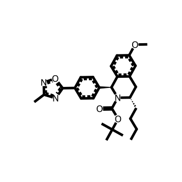 CCCC[C@H]1Cc2cc(OC)ccc2[C@H](c2ccc(-c3nc(C)no3)cc2)N1C(=O)OC(C)(C)C